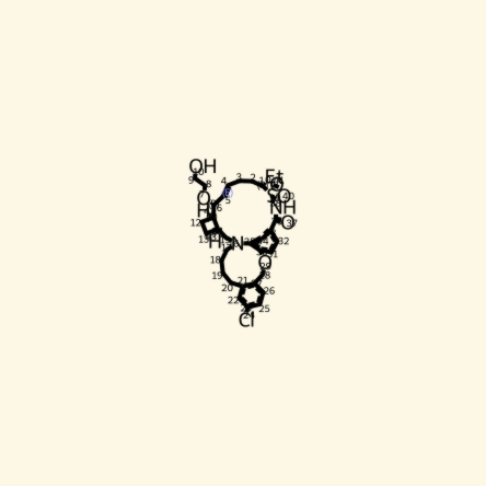 CC[C@@H]1CC/C=C/[C@H](OCCO)[C@@H]2CC[C@H]2CN2CCCCc3cc(Cl)ccc3COc3ccc(cc32)C(=O)NS1(=O)=O